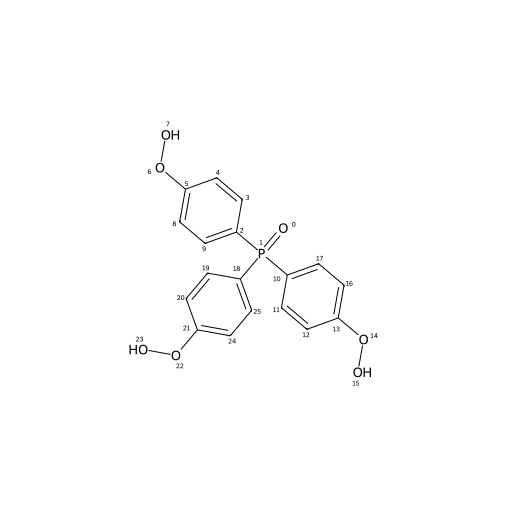 O=P(c1ccc(OO)cc1)(c1ccc(OO)cc1)c1ccc(OO)cc1